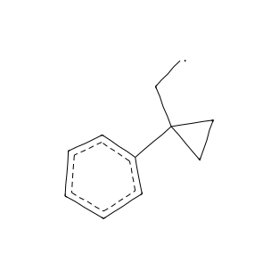 [CH2]CC1(c2ccccc2)CC1